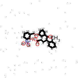 Cc1ccccc1C(CCC(=O)O)C(=O)c1cccc(OCc2cccc([N+](=O)[O-])c2)c1